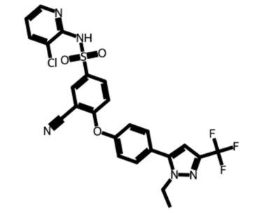 CCn1nc(C(F)(F)F)cc1-c1ccc(Oc2ccc(S(=O)(=O)Nc3ncccc3Cl)cc2C#N)cc1